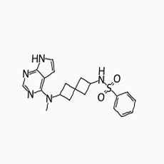 CN(c1ncnc2[nH]ccc12)C1CC2(CC(NS(=O)(=O)c3ccccc3)C2)C1